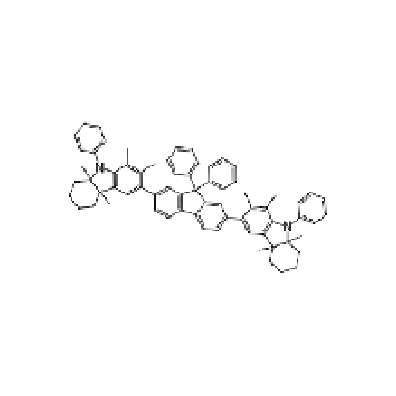 Cc1c(-c2ccc3c(c2)C(c2ccccc2)(c2ccccc2)c2cc(-c4cc5c(c(C)c4C)N(c4ccccc4)C4(C)CCCCC54C)ccc2-3)cc2c(c1C)N(c1ccccc1)C1(C)CCCCC21C